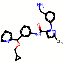 NCc1cccc(-n2nc(C(F)(F)F)cc2C(=O)Nc2cccc(C(OCC3CC3)c3ccccn3)c2)c1